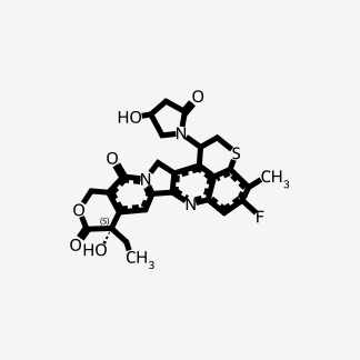 CC[C@@]1(O)C(=O)OCc2c1cc1n(c2=O)Cc2c-1nc1cc(F)c(C)c3c1c2C(N1CC(O)CC1=O)CS3